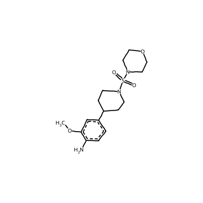 COc1cc(C2CCN(S(=O)(=O)N3CCOCC3)CC2)ccc1N